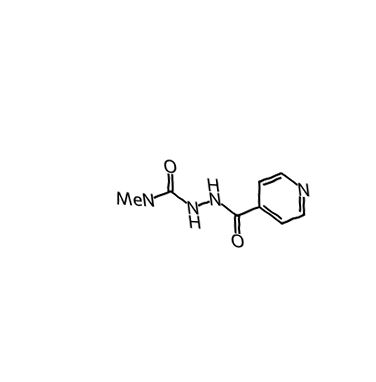 CNC(=O)NNC(=O)c1ccncc1